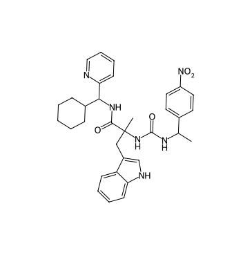 CC(NC(=O)NC(C)(Cc1c[nH]c2ccccc12)C(=O)NC(c1ccccn1)C1CCCCC1)c1ccc([N+](=O)[O-])cc1